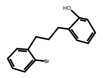 Oc1ccccc1CCCc1ccccc1Br